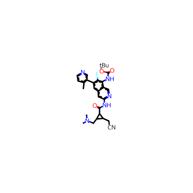 Cc1ccncc1-c1cc2cc(NC(=O)C3C(CC#N)C3CN(C)C)ncc2c(NC(=O)OC(C)(C)C)c1F